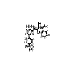 CC(=O)[C@@H](NC(=O)c1c[nH]c2ncc(-c3ccc(S(=O)(=O)C(C)C)cc3)nc12)c1ccccc1